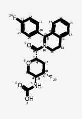 O=C(O)N[C@H]1CO[C@H](C(=O)N2CCc3ccccc3[C@@H]2c2ccc(F)cc2)C[C@@H]1F